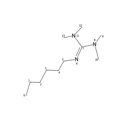 CCCCCCN=C(N(C)C)N(C)C